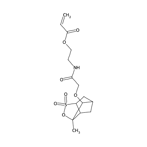 C=CC(=O)OCCNC(=O)COC1C2CC3C(C2)S(=O)(=O)OC31C